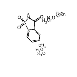 O.O.O.O.O.O.O=C1NS(=O)(=O)c2ccccc21.[Zn]